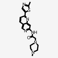 Cc1ncc(-c2ccc3cnc(NC(=O)CN4CCN(C)CC4)cc3n2)s1